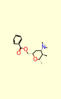 C[C@H]1[C@H](C)O[C@H](COC(=O)c2ccccc2)C[C@@H]1N(C)C